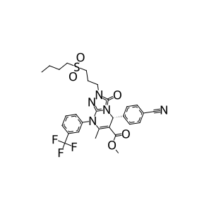 CCCCS(=O)(=O)CCCn1nc2n(c1=O)[C@H](c1ccc(C#N)cc1)C(C(=O)OC)=C(C)N2c1cccc(C(F)(F)F)c1